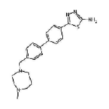 CN1CCCN(Cc2ccc(-c3ccc(-c4nnc(N)s4)cc3)cc2)CC1